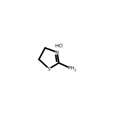 Cl.PC1=NCCS1